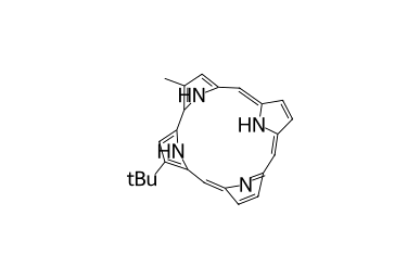 Cc1cc2cc3ccc(cc4nc(cc5[nH]c(cc5C(C)(C)C)c1[nH]2)C=C4)[nH]3